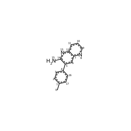 Cc1ccc(-c2cc3ncccc3nc2N)cc1